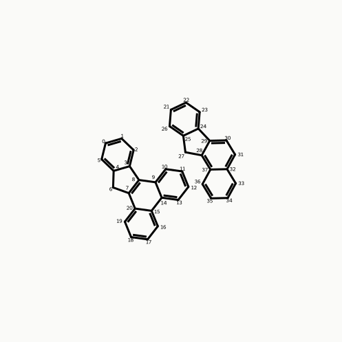 c1ccc2c(c1)Cc1c-2c2ccccc2c2ccccc12.c1ccc2c(c1)Cc1c-2ccc2ccccc12